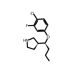 CCC[C@H](Oc1ccc(Cl)c(F)c1)[C@H]1CCNC1